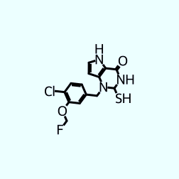 O=C1NC(S)N(Cc2ccc(Cl)c(OCF)c2)c2cc[nH]c21